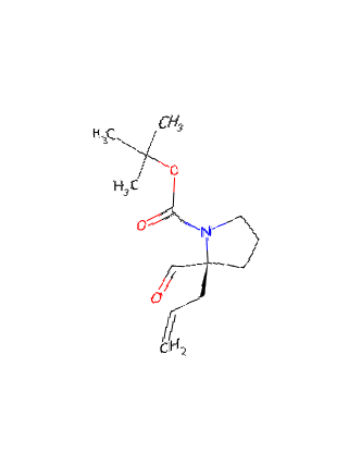 C=CC[C@]1(C=O)CCCN1C(=O)OC(C)(C)C